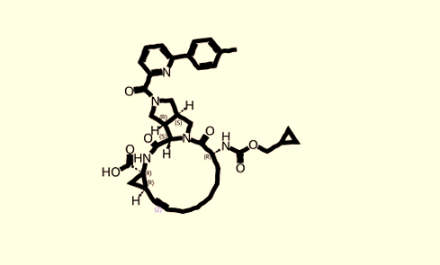 Cc1ccc(-c2cccc(C(=O)N3C[C@H]4CN5C(=O)[C@H](NC(=O)OCC6CC6)CCCCC/C=C\[C@H]6C[C@@]6(C(=O)O)NC(=O)[C@@H]5[C@H]4C3)n2)cc1